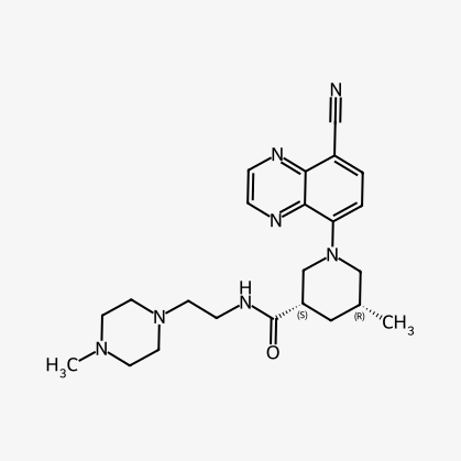 C[C@@H]1C[C@H](C(=O)NCCN2CCN(C)CC2)CN(c2ccc(C#N)c3nccnc23)C1